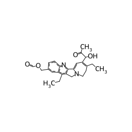 CCC1=C(C(O)C(C)=O)C=C2c3nc4ccc(COC=O)cc4c(CC)c3CN2CC1